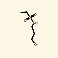 CCS(=O)(=O)NCCC[O]